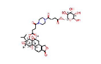 CC(C)[C@]12O[C@H]1[C@@H]1O[C@]13[C@]1(O[C@H]1CC1C4=C(CC[C@@]13C)C(=O)OC4)[C@@H]2OC(=O)CCC(=O)N1CCN(C(=O)CCC(=O)OC[C@H]2OC(O)[C@H](O)[C@@H](O)[C@@H]2O)CC1